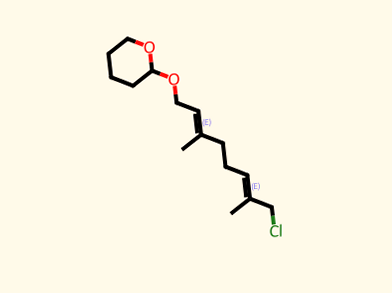 C/C(=C\CC/C(C)=C/COC1CCCCO1)CCl